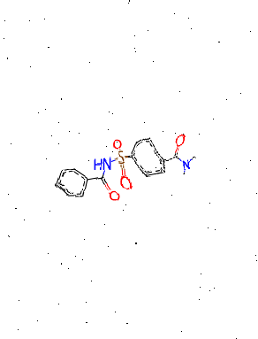 CN(C)C(=O)c1ccc(S(=O)(=O)NC(=O)c2ccccc2)cc1